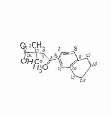 CC(C)(CC(=O)c1ccc2c(c1)CCCC2)C(=O)O